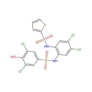 O=S(=O)(Nc1cc(Cl)c(Cl)cc1NS(=O)(=O)c1cccs1)c1cc(Cl)c(O)c(Cl)c1